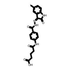 O=C(O)CCCC(=O)Nc1ccc(C(=O)N/N=C2\C(=O)Nc3ccc(I)cc32)cc1